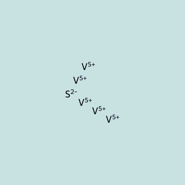 [S-2].[V+5].[V+5].[V+5].[V+5].[V+5]